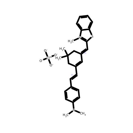 CN(C)c1ccc(/C=C/C2=CC(=C/c3sc4ccccc4[n+]3C)/CC(C)(C)C2)cc1.[O-][Cl+3]([O-])([O-])[O-]